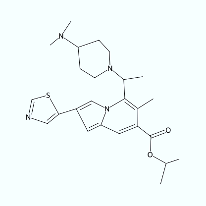 Cc1c(C(=O)OC(C)C)cc2cc(-c3cncs3)cn2c1C(C)N1CCC(N(C)C)CC1